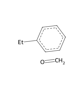 C=O.CCc1ccccc1